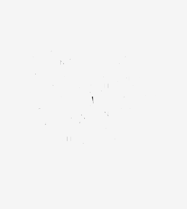 [2H]C([2H])([2H])C(C)(CN1c2ccccc2N(c2c(C)ccc3c2oc2ncccc23)[C@H]1C)C([2H])([2H])[2H]